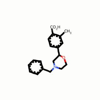 Cc1cc(C2CN(Cc3ccccc3)CCO2)ccc1C(=O)O